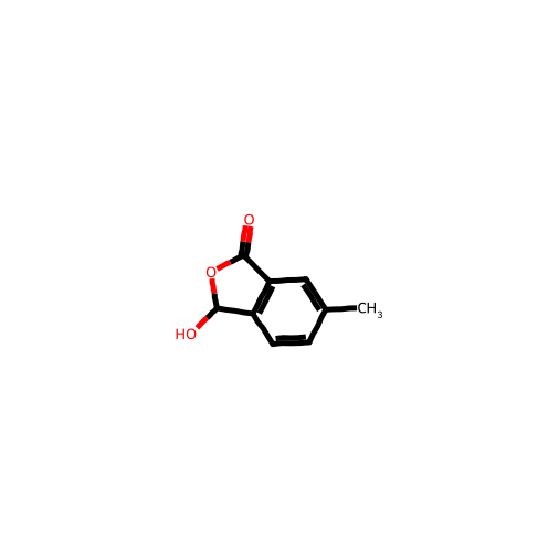 Cc1ccc2c(c1)C(=O)OC2O